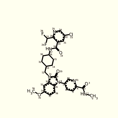 CNC(=O)c1ccc(-n2c(=O)n(CC3CCC(NC(=O)c4cc(Cl)cnc4C(F)F)CC3)c3cc(OC)ccc32)cn1